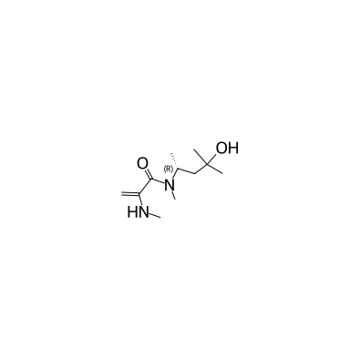 C=C(NC)C(=O)N(C)[C@H](C)CC(C)(C)O